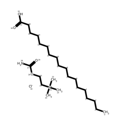 CCCCCCCCCCCCCCCCCC(=O)O.C[N+](C)(C)CCOC(N)=O.[Cl-]